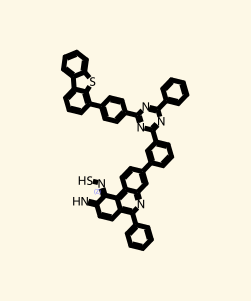 N=C1C=Cc2c(-c3ccccc3)nc3cc(-c4cccc(-c5nc(-c6ccccc6)nc(-c6ccc(-c7cccc8c7sc7ccccc78)cc6)n5)c4)ccc3c2/C1=N/S